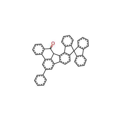 O=C1c2ccccc2-c2cc(-c3ccccc3)cc3c2C1c1c-3ccc2c1-c1ccccc1C21c2ccccc2-c2ccccc21